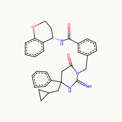 N=C1NC(CC2CC2)(c2ccccc2)CC(=O)N1Cc1cccc(C(=O)N[C@H]2CCOc3ccccc32)c1